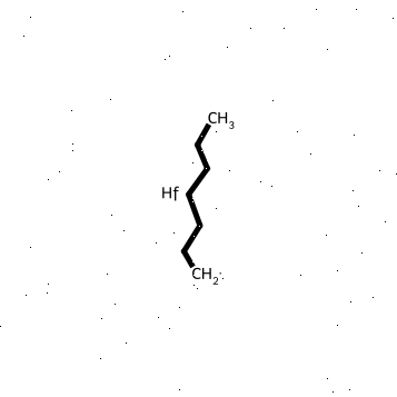 [CH2]CCCCCC.[Hf]